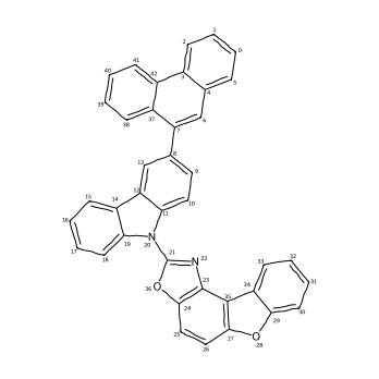 c1ccc2c(c1)cc(-c1ccc3c(c1)c1ccccc1n3-c1nc3c(ccc4oc5ccccc5c43)o1)c1ccccc12